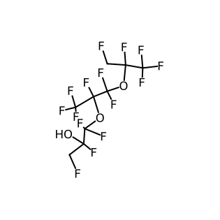 OC(F)(CF)C(F)(F)OC(F)(C(F)(F)F)C(F)(F)OC(F)(CF)C(F)(F)F